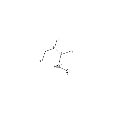 CCC(C)C(C)N[SiH3]